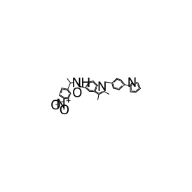 Cc1c(C)n(Cc2ccc(-c3ccccn3)cc2)c2ccc(C(=O)NC(C)c3ccc([N+](=O)[O-])cc3)cc12